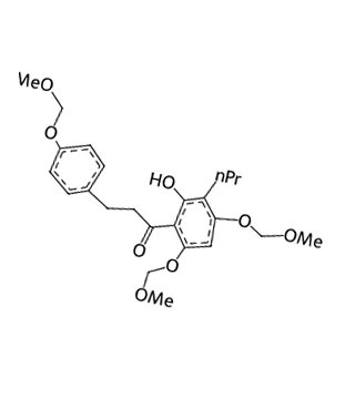 CCCc1c(OCOC)cc(OCOC)c(C(=O)CCc2ccc(OCOC)cc2)c1O